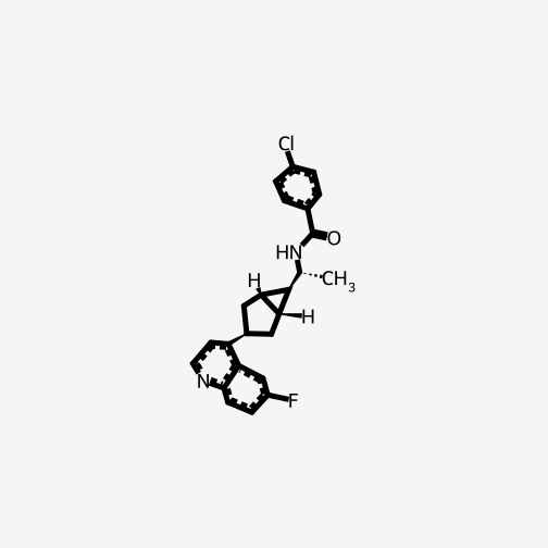 C[C@@H](NC(=O)c1ccc(Cl)cc1)[C@H]1[C@@H]2C[C@@H](c3ccnc4ccc(F)cc34)C[C@@H]21